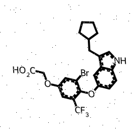 O=C(O)COc1cc(Br)c(Oc2ccc3[nH]cc(CC4CCCC4)c3c2)c(C(F)(F)F)c1